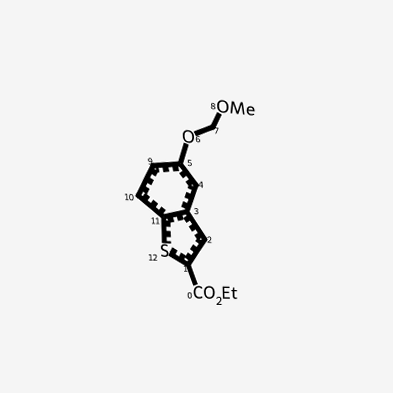 CCOC(=O)c1cc2cc(OCOC)ccc2s1